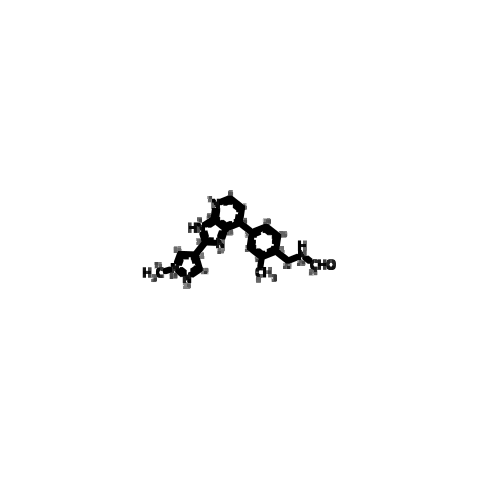 Cc1cc(-c2ccnc3[nH]c(-c4cnn(C)c4)nc23)ccc1CNC=O